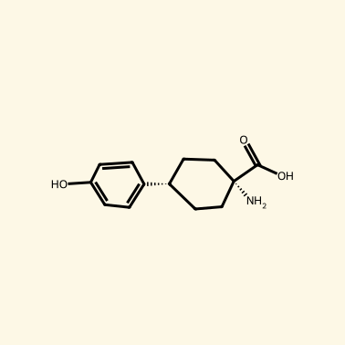 N[C@]1(C(=O)O)CC[C@H](c2ccc(O)cc2)CC1